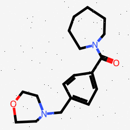 O=C(c1ccc(CN2CCOCC2)cc1)N1CCCCCC1